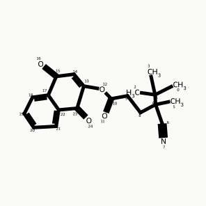 CC(C)(C)C(C)(C#N)CCC(=O)OC1=CC(=O)c2ccccc2C1=O